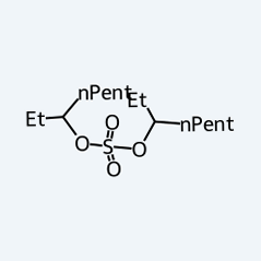 CCCCCC(CC)OS(=O)(=O)OC(CC)CCCCC